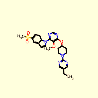 CCc1cnc(N2CCC(Oc3ncnc(N4C=CC5=CC(S(C)(=O)=O)=CCC54)c3OC)CC2)nc1